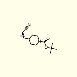 CC(C)(C)OC(=O)N1CCC(/C=C\C#N)CC1